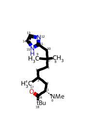 CN[C@@H](CC(C)CCC(C)(C)Cc1ncc[nH]1)C(=O)C(C)(C)C